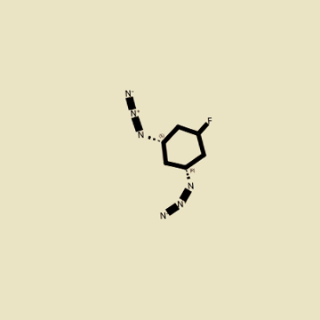 [N-]=[N+]=N[C@@H]1CC(F)C[C@H](N=[N+]=[N-])C1